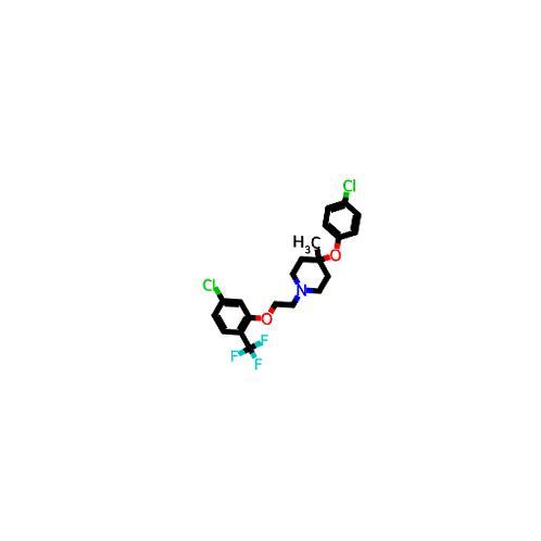 CC1(Oc2ccc(Cl)cc2)CCN(CCOc2cc(Cl)ccc2C(F)(F)F)CC1